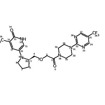 O=C(COC[C@H]1CCCN1c1c[nH]c(=O)c(C(F)(F)F)c1)N1CCN(c2ncc(C(F)(F)F)cn2)CC1